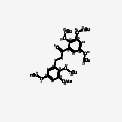 CCCCOc1cc(CCC(=O)c2cc(OCCCC)cc(OCCCC)c2OCCCC)c(OCCCC)c(OC)c1